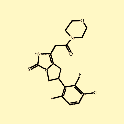 O=C(Cc1[nH]c(=S)n2c1CC(c1c(F)ccc(Cl)c1F)C2)N1CCOCC1